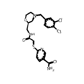 NC(=O)c1ccc(SCC(=O)NCC2CN(Cc3ccc(Cl)c(Cl)c3)CCO2)nc1